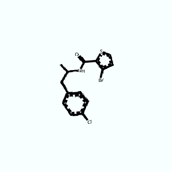 CC(Cc1ccc(Cl)cc1)NC(=O)c1sccc1Br